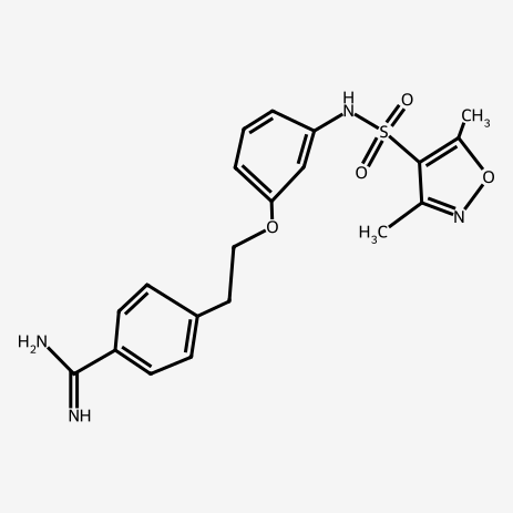 Cc1noc(C)c1S(=O)(=O)Nc1cccc(OCCc2ccc(C(=N)N)cc2)c1